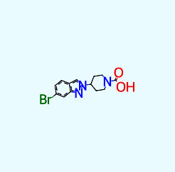 O=C(O)N1CCC(n2cc3ccc(Br)cc3n2)CC1